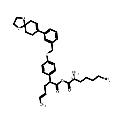 CC=CCC(C(=O)OC(=O)[C@@H](N)CCCCN)c1ccc(OCc2cccc(C3=CCC4(CC3)OCCO4)c2)cc1